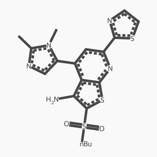 CCCCS(=O)(=O)c1sc2nc(-c3nccs3)cc(-c3cnc(C)n3C)c2c1N